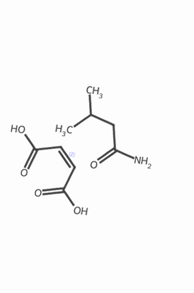 CC(C)CC(N)=O.O=C(O)/C=C\C(=O)O